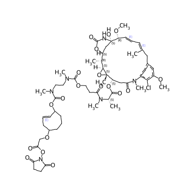 COc1cc2cc(c1Cl)N(C)C(=O)C[C@H](OC(=O)[C@H](C)N(C)C(=O)CCOC(=O)N(C)CCN(C)C(=O)OC1/C=C/CC(OCC(=O)ON3C(=O)CCC3=O)CCC1)[C@]1(C)O[C@H]1[C@H](C)[C@@H]1C[C@@](O)(NC(=O)O1)[C@H](OC)/C=C/C=C(\C)C2